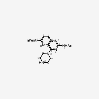 CCCCCc1ccc2nc(NC(C)=O)nc(N3CCNCC3)c2n1